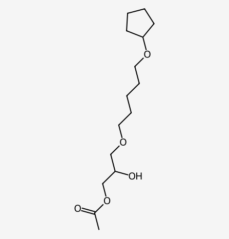 CC(=O)OCC(O)COCCCCCOC1CCCC1